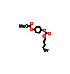 COC(=O)OC1CCC(OC(=O)OCCCCC(C)C)CC1